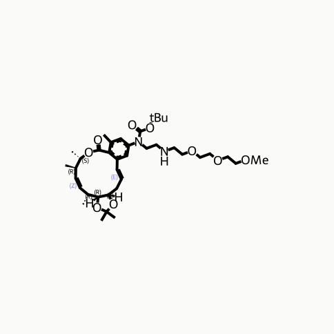 COCCOCCOCCNCCN(C(=O)OC(C)(C)C)c1cc(C)c2c(c1)/C=C/C[C@@H]1OC(C)(C)O[C@@H]1[C@H](C)/C=C\[C@@H](C)[C@H](C)OC2=O